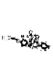 CC#CCOc1ccc(S(=O)(=O)N2CCN(c3ccc(F)cc3)CC2O)cc1.NC(=O)NC=O